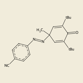 CC1(N=Nc2ccc(C#N)cc2)C=C(C(C)(C)C)C(=O)C(C(C)(C)C)=C1